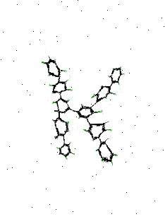 Cc1c(F)c(C2(C)C(F)=C(c3c(F)c(-c4c(F)c(F)c(-c5c(F)c(F)c(F)c(F)c5F)c(F)c4F)c(F)c(-c4c(F)c(F)c(-c5c(F)c(F)c(F)c(F)c5F)c(F)c4F)c3F)C(F)=C(c3c(F)c(F)c(-c4c(F)c(F)c(F)c(F)c4F)c(F)c3F)C2F)c(F)c(F)c1-c1c(F)c(F)c(F)c(F)c1F